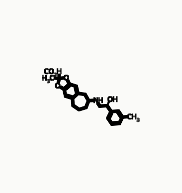 Cc1cccc([C@@H](O)CNC2CCCc3cc4c(cc3C2)OC(C)(C(=O)O)O4)c1